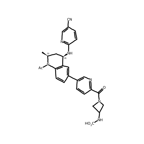 CC(=O)N1c2ccc(-c3ccc(C(=O)N4CC(NC(=O)O)C4)nc3)cc2[C@H](Nc2ccc(C#N)cn2)C[C@@H]1C